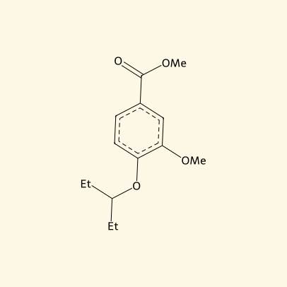 CCC(CC)Oc1ccc(C(=O)OC)cc1OC